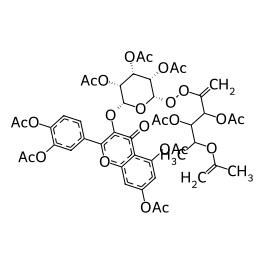 C=C(C)OC(C)C(OC(C)=O)C(OC(C)=O)C(=C)OO[C@@H]1O[C@H](Oc2c(-c3ccc(OC(C)=O)c(OC(C)=O)c3)oc3cc(OC(C)=O)cc(OC(C)=O)c3c2=O)[C@H](OC(C)=O)[C@H](OC(C)=O)[C@@H]1OC(C)=O